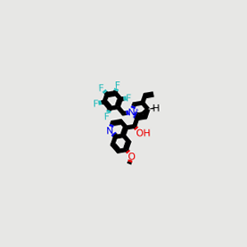 C=CC1C[N+]2(Cc3c(F)c(F)c(F)c(F)c3F)CC[C@H]1CC2C(O)c1ccnc2ccc(OC)cc12